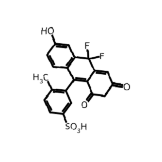 Cc1ccc(S(=O)(=O)O)cc1C1=C2C(=O)CC(=O)C=C2C(F)(F)c2cc(O)ccc21